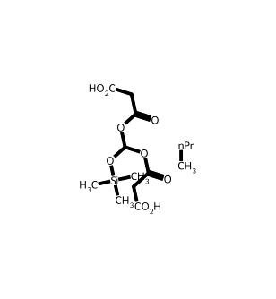 CCCC.C[Si](C)(C)OC(OC(=O)CC(=O)O)OC(=O)CC(=O)O